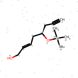 C#CC[C@H](C/C=C/CO)O[Si](C)(C)C(C)(C)C